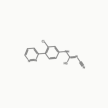 N#CN=C(S)Nc1ccc(-c2cccnn2)c(Cl)c1